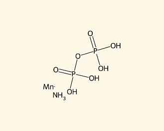 N.O=P(O)(O)OP(=O)(O)O.[Mn]